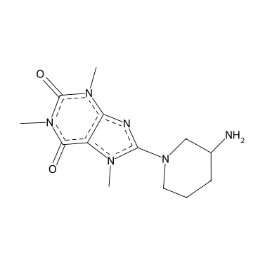 Cn1c(=O)c2c(nc(N3CCCC(N)C3)n2C)n(C)c1=O